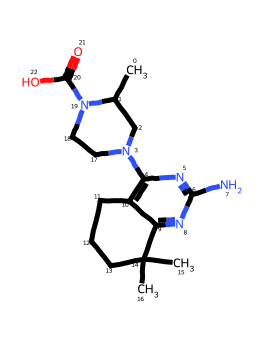 CC1CN(c2nc(N)nc3c2CCCC3(C)C)CCN1C(=O)O